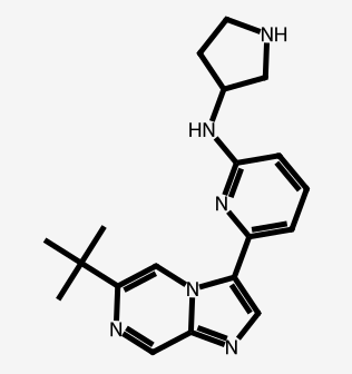 CC(C)(C)c1cn2c(-c3cccc(NC4CCNC4)n3)cnc2cn1